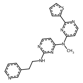 CN(c1ccnc(NCCc2cccnc2)n1)c1ccnc(-c2cccs2)n1